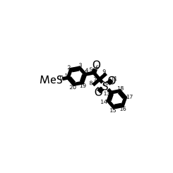 CSc1ccc(C(=O)C(C)(C)S(=O)(=O)c2ccccc2)cc1